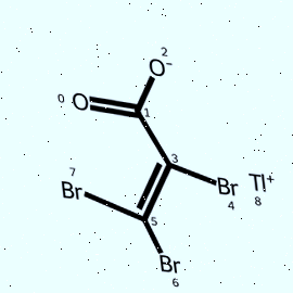 O=C([O-])C(Br)=C(Br)Br.[Tl+]